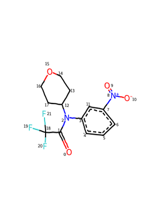 O=C(N(c1[c]ccc([N+](=O)[O-])c1)C1CCOCC1)C(F)(F)F